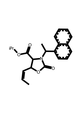 C/C=C\C1OC(=O)N(C(C)c2cccc3ccccc23)C1C(=O)OC(C)C